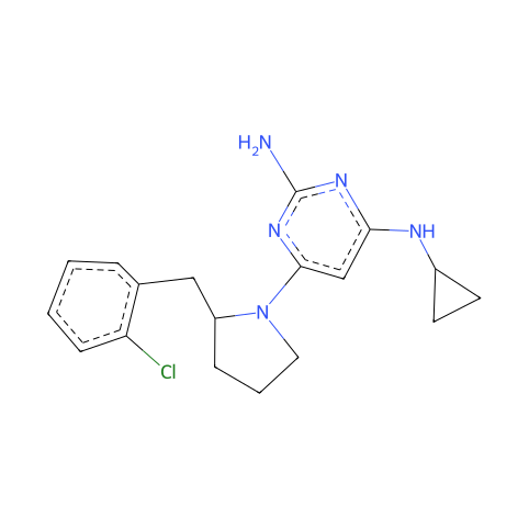 Nc1nc(NC2CC2)cc(N2CCCC2Cc2ccccc2Cl)n1